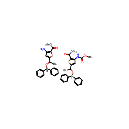 COC(=O)c1sc(C(O[SiH](c2ccccc2)c2ccccc2)C(C)(C)C)cc1N.COC(=O)c1sc(C(O[SiH](c2ccccc2)c2ccccc2)C(C)(C)C)cc1NC(=O)OC(C)(C)C